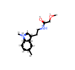 COCC(=O)NCCc1cn(C)c2ccc(C)cc12